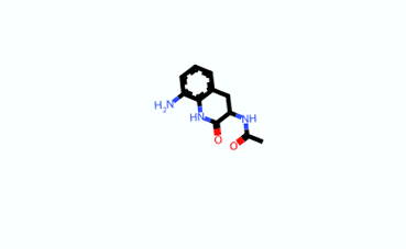 CC(=O)NC1Cc2cccc(N)c2NC1=O